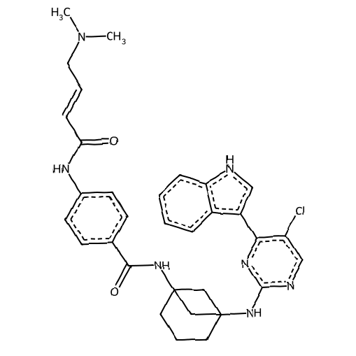 CN(C)C/C=C/C(=O)Nc1ccc(C(=O)NC23CCCC(Nc4ncc(Cl)c(-c5c[nH]c6ccccc56)n4)(C2)C3)cc1